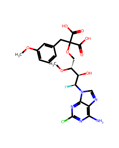 COc1cccc(CC(OC[C@@H](OC)[C@@H](O)[C@H](F)n2cnc3c(N)nc(Cl)nc32)(C(=O)O)C(=O)O)c1